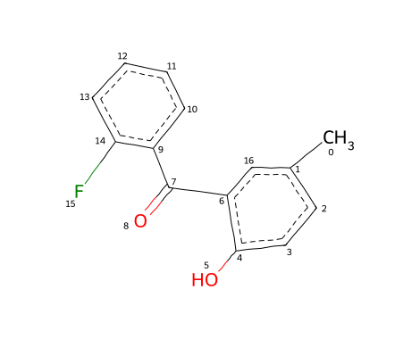 Cc1ccc(O)c(C(=O)c2ccccc2F)c1